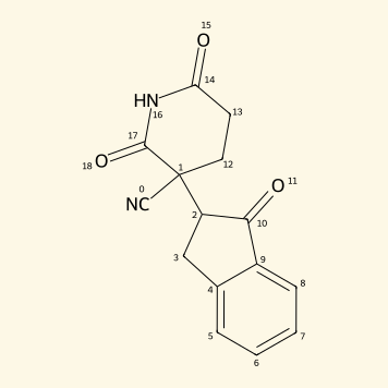 N#CC1(C2Cc3ccccc3C2=O)CCC(=O)NC1=O